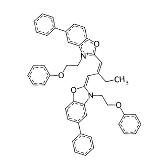 CCC(=Cc1oc2ccc(-c3ccccc3)cc2[n+]1CCOc1ccccc1)C=C1Oc2ccc(-c3ccccc3)cc2N1CCOc1ccccc1